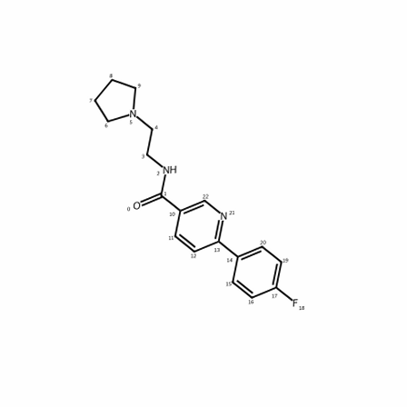 O=C(NCCN1CCCC1)c1ccc(-c2ccc(F)cc2)nc1